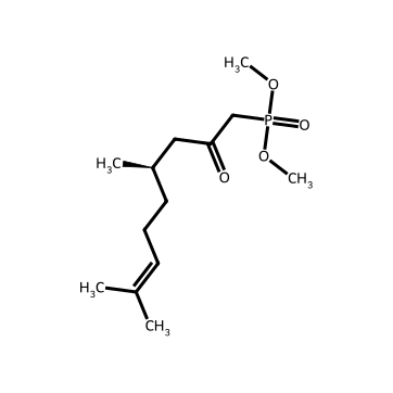 COP(=O)(CC(=O)C[C@H](C)CCC=C(C)C)OC